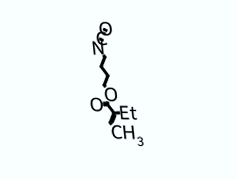 C/C=C(\CC)C(=O)OCCCCN=C=O